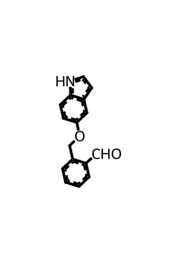 O=Cc1ccccc1COc1ccc2[nH]ccc2c1